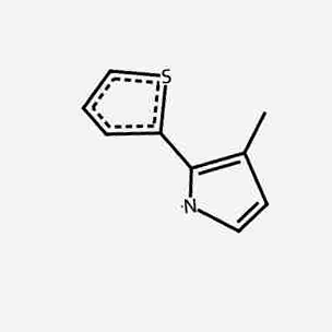 CC1=C(c2cccs2)[N]C=C1